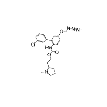 CN1CCCC1CCOC(=O)Nc1ccc(OCN=[N+]=[N-])cc1-c1cccc(Cl)c1